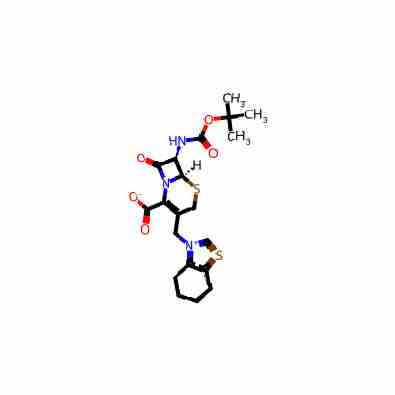 CC(C)(C)OC(=O)N[C@@H]1C(=O)N2C(C(=O)[O-])=C(C[n+]3csc4c3CCCC4)CS[C@H]12